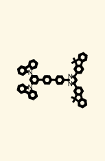 CC1(C)c2ccccc2-c2ccc(-c3cc(-c4ccc5c(c4)C(C)(C)c4ccccc4-5)nc(-c4ccc(-c5ccc(-c6cc(-n7c8ccccc8c8ccccc87)cc(-n7c8ccccc8c8ccccc87)c6)cc5)cc4)n3)cc21